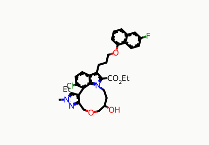 CCOC(=O)c1c(CCCOc2cccc3cc(F)ccc23)c2ccc(Cl)c3c2n1CCC(O)COCc1nn(C)c(CC)c1-3